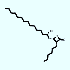 CCCCCCCCCCCCC[C@@H](O)C[C@@H]1OC(=O)[C@H]1CCCCCC